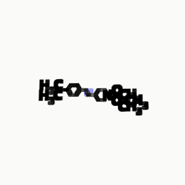 CC(C)c1ccc(/C=C/C2CCN(C(=O)OC(C)(C)C)CC2)cc1